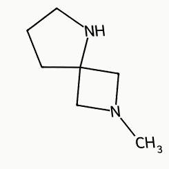 CN1CC2(CCCN2)C1